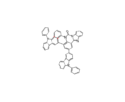 O=c1n(-c2ccccc2)c2c(-c3ccc4c(c3)c3ccccc3n4-c3ccccc3)cc(-c3ccc4c(c3)c3ccccc3n4-c3ccccc3)cc2c2nc3ccccc3n12